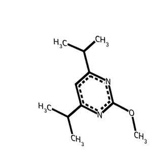 COc1nc(C(C)C)cc(C(C)C)n1